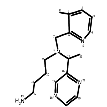 Cc1cccnc1CN(CCCCN)C(C)c1cnccn1